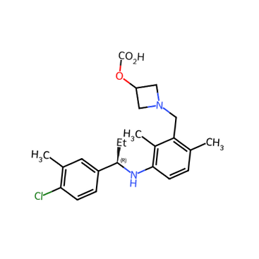 CC[C@@H](Nc1ccc(C)c(CN2CC(OC(=O)O)C2)c1C)c1ccc(Cl)c(C)c1